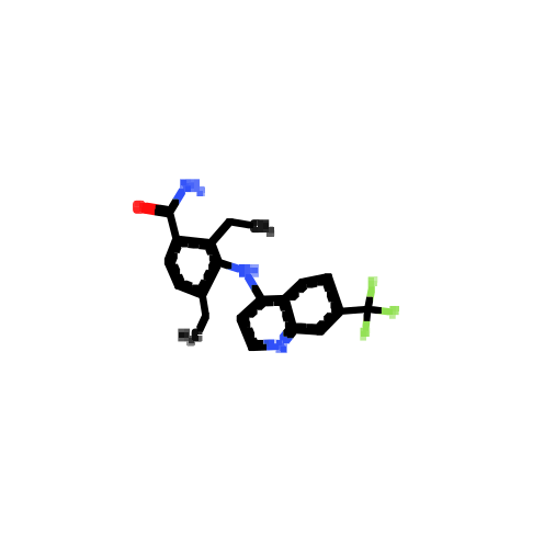 CCc1ccc(C(N)=O)c(CC)c1Nc1ccnc2cc(C(F)(F)F)ccc12